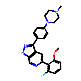 COc1cccc(F)c1-c1cc2c(-c3ccc(N4CCN(C)CC4)cc3)n[nH]c2cn1